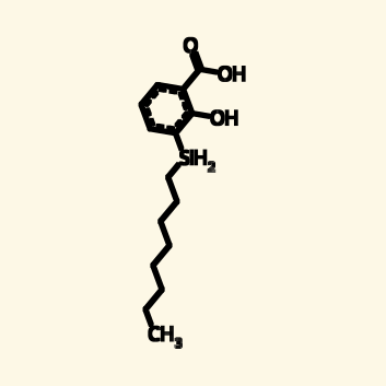 CCCCCCCC[SiH2]c1cccc(C(=O)O)c1O